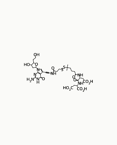 CC(C)(CCCC(=O)NC(CC(=O)O)C(=O)NC(CC(=O)O)C(=O)O)SSCCC(=O)NC#Cc1cn(C2CC(O)C(CCO)O2)c2nc(N)[nH]c(=O)c12